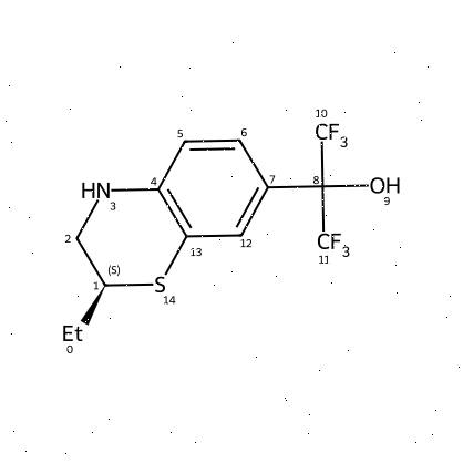 CC[C@H]1CNc2ccc(C(O)(C(F)(F)F)C(F)(F)F)cc2S1